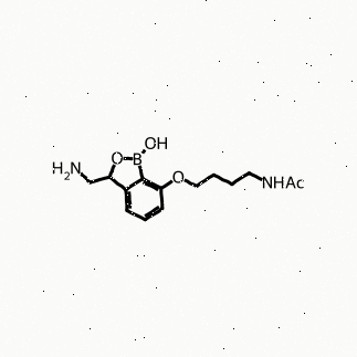 CC(=O)NCCCCOc1cccc2c1B(O)OC2CN